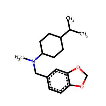 CC(C)C1CCC(N(C)Cc2ccc3c(c2)OCO3)CC1